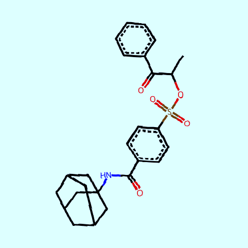 CC(OS(=O)(=O)c1ccc(C(=O)NC23CC4CC(CC(C4)C2)C3)cc1)C(=O)c1ccccc1